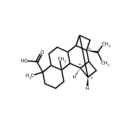 CC(C)[C@]12CC3C1C1CCC4C(C)(C(=O)O)CCCC4(C)C1[C@H]1C2C[C@@H]31